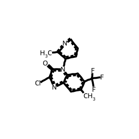 Cc1cc2nc(Cl)c(=O)n(-c3cccnc3C)c2cc1C(F)(F)F